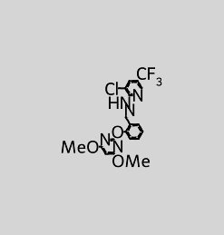 COc1cc(OC)nc(Oc2ccccc2C=NNc2ncc(C(F)(F)F)cc2Cl)n1